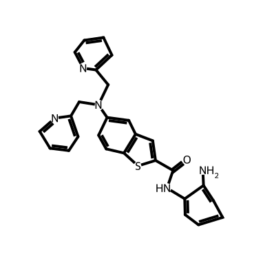 Nc1ccccc1NC(=O)c1cc2cc(N(Cc3ccccn3)Cc3ccccn3)ccc2s1